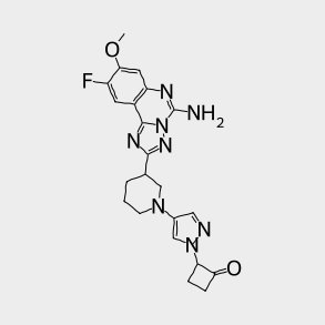 COc1cc2nc(N)n3nc(C4CCCN(c5cnn(C6CCC6=O)c5)C4)nc3c2cc1F